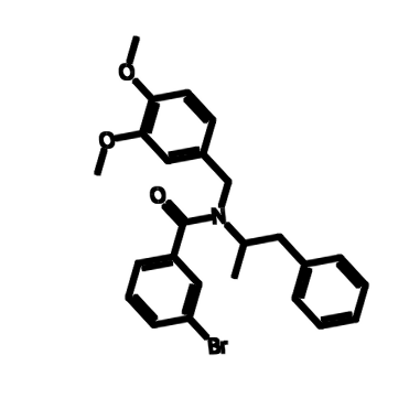 COc1ccc(CN(C(=O)c2cccc(Br)c2)C(C)Cc2ccccc2)cc1OC